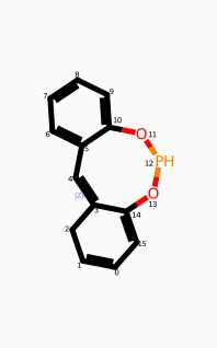 C1=CC/C2=C/c3ccccc3OPOC2=C1